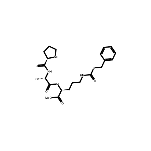 COC(=O)[C@H](CCCNC(=O)OCc1ccccc1)NC(=O)[C@@H](NC(=O)[C@H]1CCCN1)C(C)C